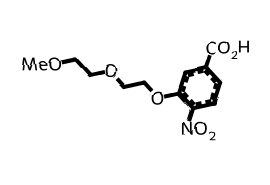 COCCOCCOc1cc(C(=O)O)ccc1[N+](=O)[O-]